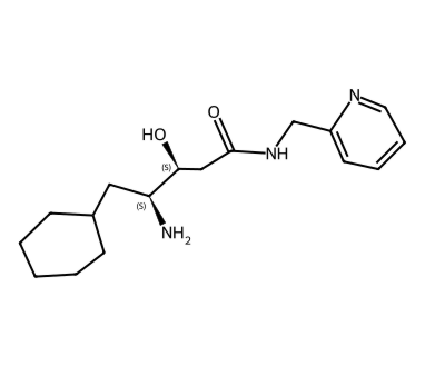 N[C@@H](CC1CCCCC1)[C@@H](O)CC(=O)NCc1ccccn1